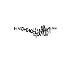 CN[C@@H](C)C(=O)N[C@H](C(=O)C1=C(C(=O)Nc2cc3c(Nc4ccc(N5CCN(C6CCN(C)CC6)CC5)cc4)ncnc3cc2OC)Cn2cccc21)C(C)(C)C